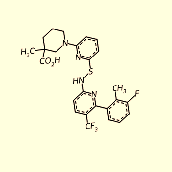 Cc1c(F)cccc1-c1nc(NSc2cccc(N3CCCC(C)(C(=O)O)C3)n2)ccc1C(F)(F)F